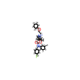 Cc1cccc(N(Cc2ccc(F)cc2)C(=O)O[C@H]2C[N+]3(CCOc4ccccc4)CCC2CC3)c1